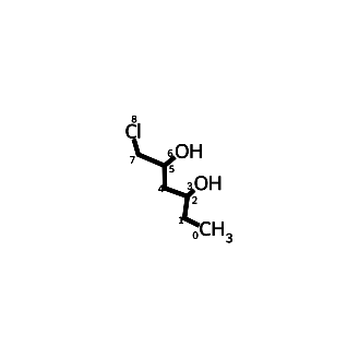 CCC(O)CC(O)CCl